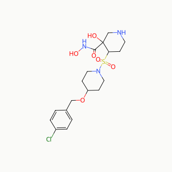 O=C(NO)C1(O)CNCCC1S(=O)(=O)N1CCC(OCc2ccc(Cl)cc2)CC1